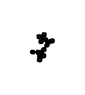 c1ccc(-c2ccc(N(c3ccc(-c4ccc5c(c4)c4cc(C6(c7ccccc7)c7ccccc7-c7ccccc76)ccc4n5-c4ccccc4)cc3)c3cccc4c3oc3ccccc34)cc2)cc1